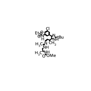 C=C(/C=C\N=C(/C)NC[C@H](C)NC(=O)OC)C1NC(C(C)(C)C)=NC1c1cc(Cl)cc(NS(=O)(=O)CC)c1